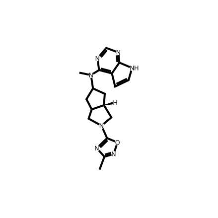 Cc1noc(N2CC3CC(N(C)c4ncnc5[nH]ccc45)C[C@@H]3C2)n1